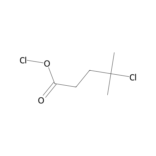 CC(C)(Cl)CCC(=O)OCl